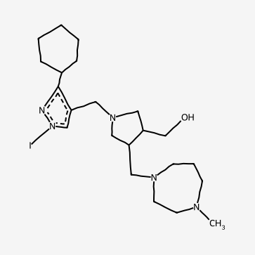 CN1CCCN(CC2CN(Cc3cn(I)nc3C3CCCCC3)CC2CO)CC1